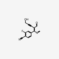 C=N/C(=C(/C#CCO)C=O)c1ccc(C#N)c(F)c1